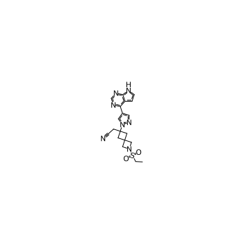 CCS(=O)(=O)N1CC2(C1)CC(CC#N)(n1cc(-c3ncnc4[nH]ccc34)cn1)C2